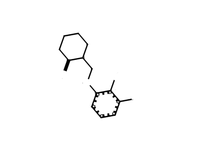 O=C1CCCCC1COc1cccc(F)c1F